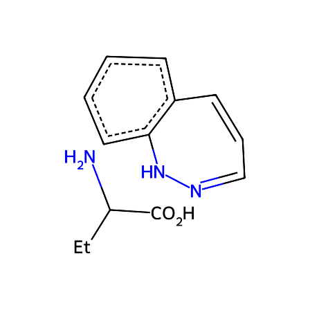 C1=Cc2ccccc2NN=C1.CCC(N)C(=O)O